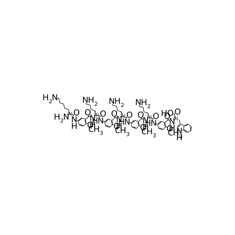 COc1ccc(NC(=O)[C@H](CCCCN)NC(=O)c2cc(NC(=O)[C@H](CCCCN)NC(=O)c3cc(NC(=O)[C@H](CCCCN)NC(=O)c4cc(NC(=O)[C@@H](N)CCCCCN)ccc4OC)ccc3OC)ccc2OC)cc1C(=O)N[C@@H](Cc1c[nH]c2ccccc12)C(=O)O